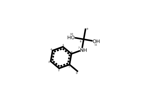 Cc1ccccc1NC(C)(O)O